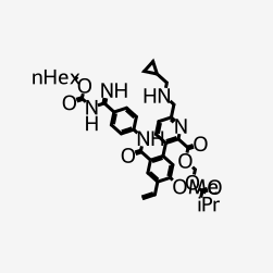 C=Cc1cc(C(=O)Nc2ccc(C(=N)NC(=O)OCCCCCC)cc2)c(-c2ccc(CNCC3CC3)nc2C(=O)OCOC(=O)C(C)C)cc1OC